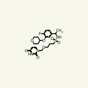 CC(NS(=O)(=O)CCCOCn1ccc(=O)[nH]c1=O)c1ccc(F)c(OC2CCOCC2)c1